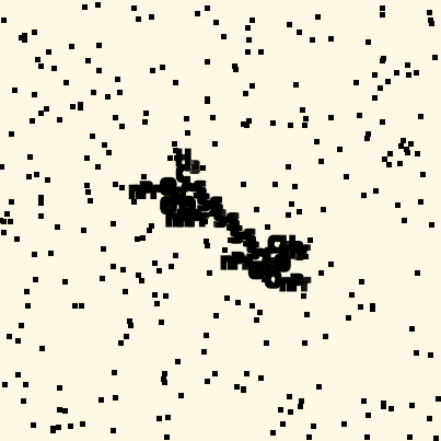 CCCO[Si](OCCC)(OCCC)C(C)SSSSSSSSC(C)[Si](OCCC)(OCCC)OCCC